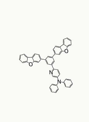 c1ccc(N(c2ccccc2)c2ccc(-c3cc(-c4ccc5c(c4)oc4ccccc45)cc(-c4ccc5c(c4)oc4ccccc45)c3)nc2)cc1